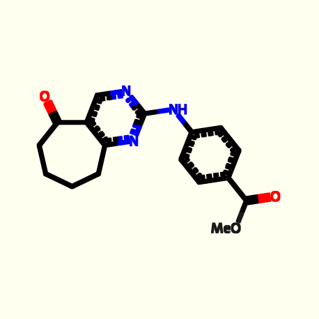 COC(=O)c1ccc(Nc2ncc3c(n2)CCCCC3=O)cc1